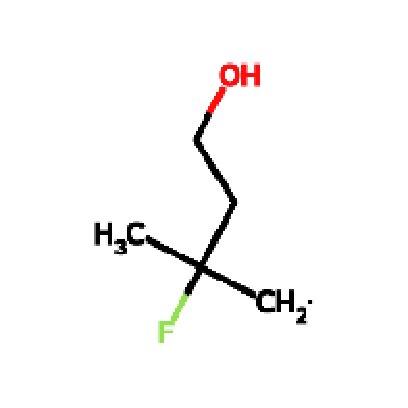 [CH2]C(C)(F)CCO